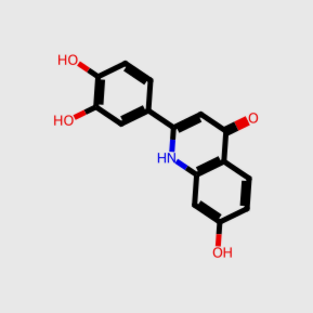 O=c1cc(-c2ccc(O)c(O)c2)[nH]c2cc(O)ccc12